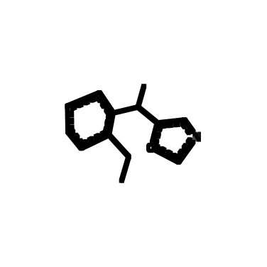 CCc1ccccc1C(C)c1cnco1